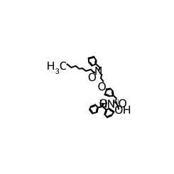 CCCCCCCCC(=O)N(CCCOc1ccc(C[C@H](Nc2ccccc2C(=O)c2ccccc2)C(=O)O)cc1)Cc1ccccc1